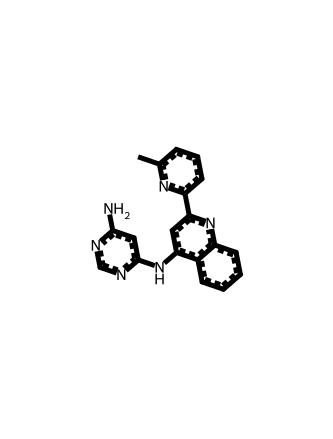 Cc1cccc(-c2cc(Nc3cc(N)ncn3)c3ccccc3n2)n1